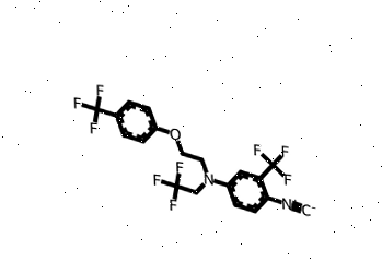 [C-]#[N+]c1ccc(N(CCOc2ccc(C(F)(F)F)cc2)CC(F)(F)F)cc1C(F)(F)F